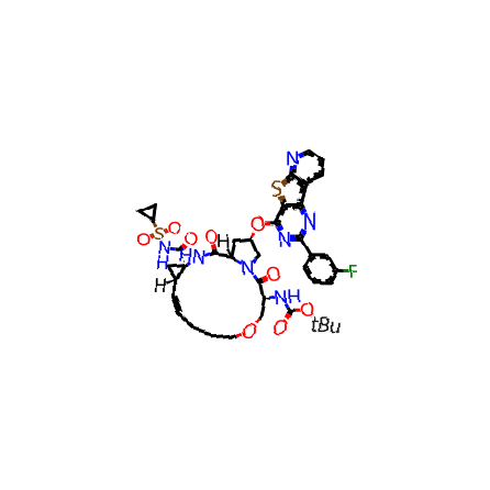 CC(C)(C)OC(=O)N[C@H]1COCCC/C=C\[C@@H]2C[C@@]2(C(=O)NS(=O)(=O)C2CC2)NC(=O)[C@@H]2C[C@@H](Oc3nc(-c4cccc(F)c4)nc4c3sc3ncccc34)CN2C1=O